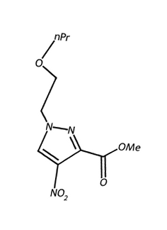 CCCOCCn1cc([N+](=O)[O-])c(C(=O)OC)n1